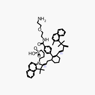 C=C(/C=C/C1=C(c2ccc(C(=O)NCCOCCN)cc2)C(C/C=C2\N(CCCCS(=O)(=O)O)c3ccc4ccccc4c3C2(C)C)CCC1)C(C)(C)c1c(C)ccc2ccccc12